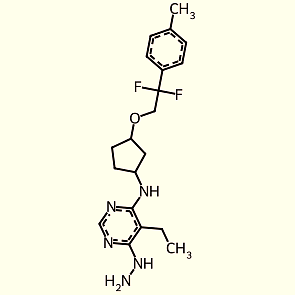 CCc1c(NN)ncnc1NC1CCC(OCC(F)(F)c2ccc(C)cc2)C1